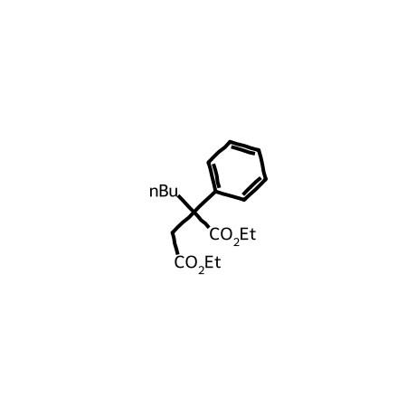 CCCCC(CC(=O)OCC)(C(=O)OCC)c1ccccc1